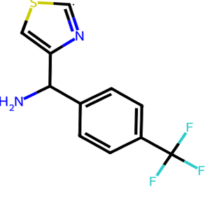 NC(c1ccc(C(F)(F)F)cc1)c1cs[c]n1